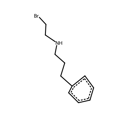 BrCCNCCCc1ccccc1